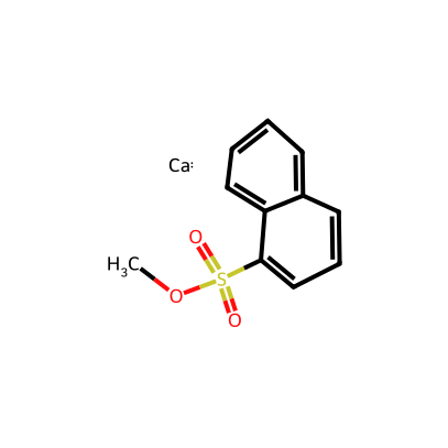 COS(=O)(=O)c1cccc2ccccc12.[Ca]